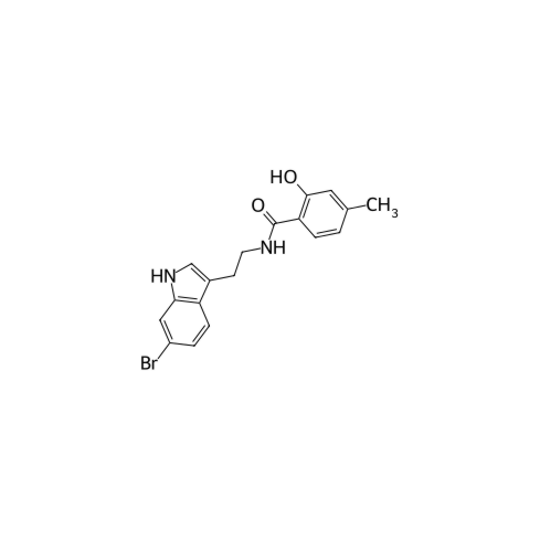 Cc1ccc(C(=O)NCCc2c[nH]c3cc(Br)ccc23)c(O)c1